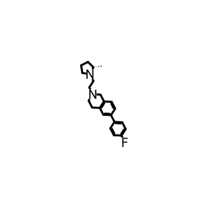 C[C@H]1CCCN1CCN1CCc2cc(-c3ccc(F)cc3)ccc2C1